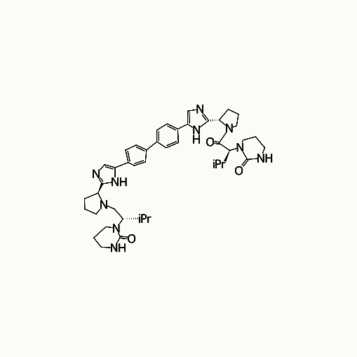 CC(C)[C@@H](CN1CCC[C@H]1c1ncc(-c2ccc(-c3ccc(-c4cnc([C@@H]5CCCN5C(=O)[C@H](C(C)C)N5CCCNC5=O)[nH]4)cc3)cc2)[nH]1)N1CCCNC1=O